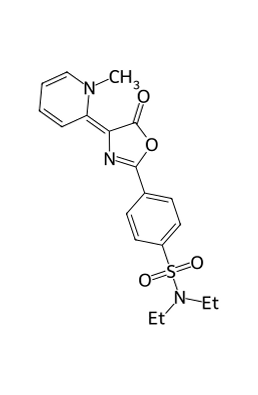 CCN(CC)S(=O)(=O)c1ccc(C2=N/C(=C3\C=CC=CN3C)C(=O)O2)cc1